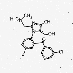 Cc1nc(CN(C)C)n(-c2ccc(F)cc2C(=O)c2cccc(Cl)c2)c1CO